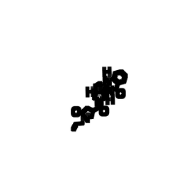 C=CCN1CC(C(=O)N2C[C@H]3CC[C@]4(NC(=O)c5ccccc5N4)[C@H]3C2)CC1=O